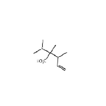 C=CC(C)C(C)(C(=O)O)N(C)C